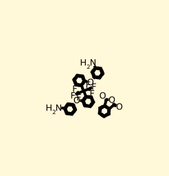 Nc1cccc(Oc2ccccc2C(c2ccccc2Oc2cccc(N)c2)(C(F)(F)F)C(F)(F)F)c1.O=C1OC(=O)c2ccccc21